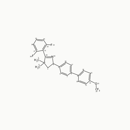 CC1(C)CC(c2ccc(-c3ccc(OC(F)(F)F)cc3)cc2)N=C1c1c(F)cccc1F